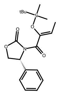 CC=C(O[Si](C)(C)C(C)(C)C)C(=O)N1C(=O)OC[C@H]1c1ccccc1